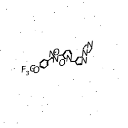 CN1CCN(c2cc(Cn3cccc(-c4nc(-c5ccc(OC(F)(F)F)cc5)no4)c3=O)ccn2)CC1